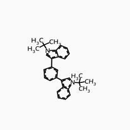 CC(C)(C)n1cc(-c2cccc(-c3cn(C(C)(C)C)c4ccccc34)c2)c2ccccc21